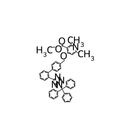 CCOC(=O)c1c(OCc2ccc(-c3ccccc3-c3nnn(C(c4ccccc4)(c4ccccc4)c4ccccc4)n3)cc2)cc(C)nc1C